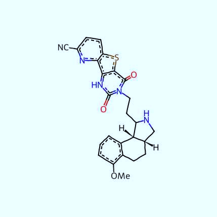 COc1cccc2c1CC[C@H]1CNC(CCn3c(=O)[nH]c4c(sc5ccc(C#N)nc54)c3=O)[C@@H]21